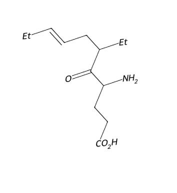 CCC=CCC(CC)C(=O)C(N)CCC(=O)O